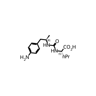 CCC[C@H](NC(=O)N[C@H](C)Cc1ccc(N)cc1)C(=O)O